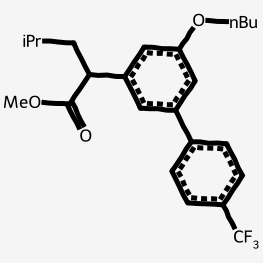 CCCCOc1cc(-c2ccc(C(F)(F)F)cc2)cc(C(CC(C)C)C(=O)OC)c1